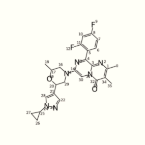 Cc1nc2c(-c3ccc(F)cc3F)nc(N3CC(C)OC(c4cnn(C5CC5)c4)C3)cn2c(=O)c1C